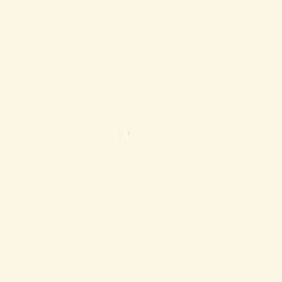 CCCCC(CC)COC(=O)OCC(COC(=O)OCC(CC)CCCC)OC(=O)OCC(CC)CCCC